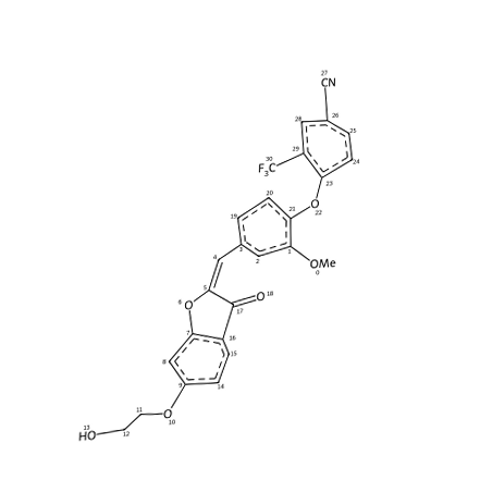 COc1cc(C=C2Oc3cc(OCCO)ccc3C2=O)ccc1Oc1ccc(C#N)cc1C(F)(F)F